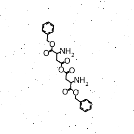 NC(CC(=O)OC(=O)CC(N)C(=O)OCc1ccccc1)C(=O)OCc1ccccc1